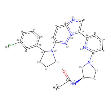 CC(=O)N[C@@H]1CCN(c2cccc(-c3cnc4ccc(N5CCCC5c5cccc(F)c5)nn34)n2)C1